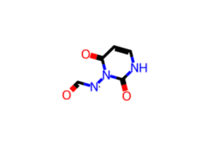 O=C[N]n1c(=O)cc[nH]c1=O